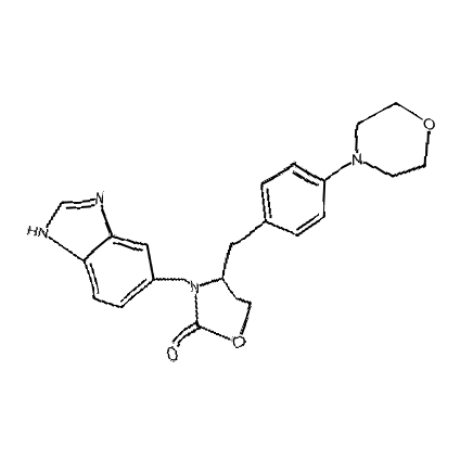 O=C1OCC(Cc2ccc(N3CCOCC3)cc2)N1c1ccc2[nH]cnc2c1